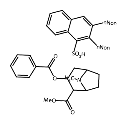 CCCCCCCCCc1cc2ccccc2c(S(=O)(=O)O)c1CCCCCCCCC.COC(=O)C1C(OC(=O)c2ccccc2)CC2CCC1N2C